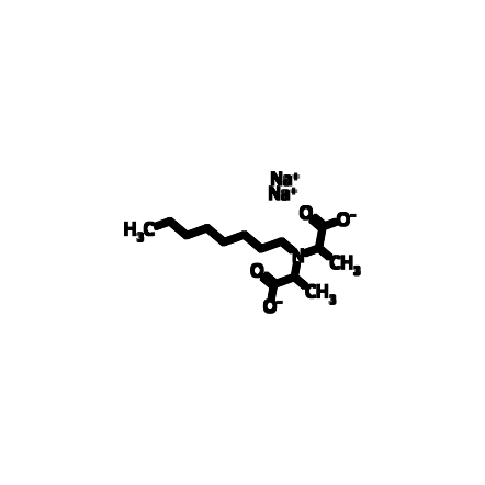 CCCCCCCCN(C(C)C(=O)[O-])C(C)C(=O)[O-].[Na+].[Na+]